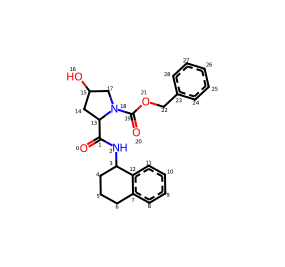 O=C(NC1CCCc2ccccc21)C1CC(O)CN1C(=O)OCc1ccccc1